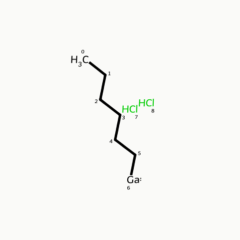 CCCCC[CH2][Ga].Cl.Cl